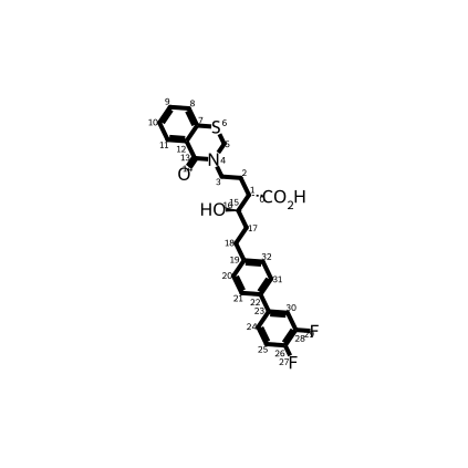 O=C(O)[C@@H](CCN1CSc2ccccc2C1=O)[C@H](O)CCc1ccc(-c2ccc(F)c(F)c2)cc1